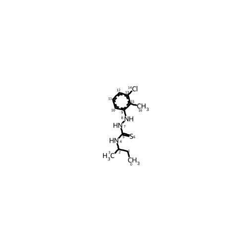 CCC(C)NC(=S)NNc1cccc(Cl)c1C